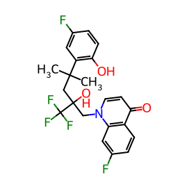 CC(C)(CC(O)(Cn1ccc(=O)c2ccc(F)cc21)C(F)(F)F)c1cc(F)ccc1O